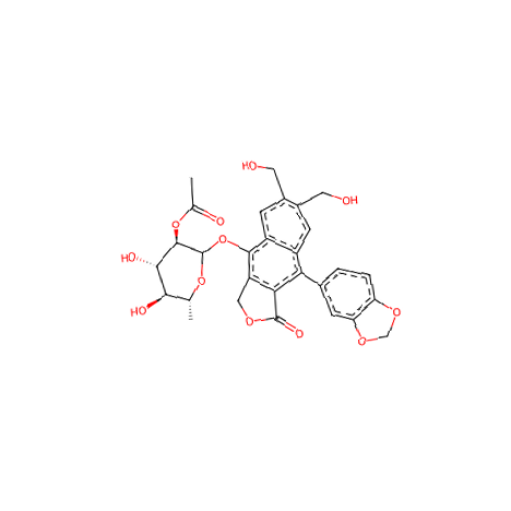 CC(=O)O[C@H]1C(Oc2c3c(c(-c4ccc5c(c4)OCO5)c4cc(CO)c(CO)cc24)C(=O)OC3)O[C@H](C)[C@@H](O)[C@@H]1O